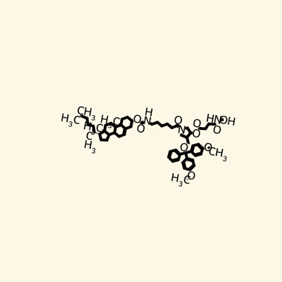 COc1ccc(C(OCC2CN(C(=O)CCCCCNC(=O)OC3CC[C@@]4(C)C(=CCC5C4CC[C@@]4(C)C5CC[C@@H]4C(C)CCCC(C)C)C3)CC2OC(=O)CCC(=O)NO)(c2ccccc2)c2ccc(OC)cc2)cc1